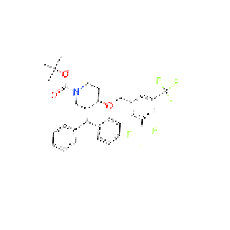 CC(C)(C)OC(=O)N1CCC(OCc2cc(C(F)(F)F)cc(C(F)(F)F)c2)C(C(c2ccccc2)c2ccccc2)C1